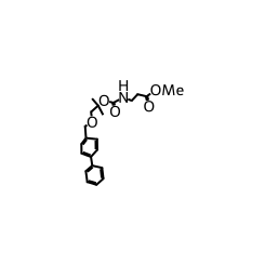 COC(=O)CCNC(=O)OC(C)(C)COCc1ccc(-c2ccccc2)cc1